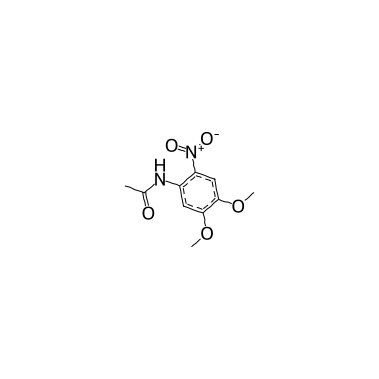 COc1cc(NC(C)=O)c([N+](=O)[O-])cc1OC